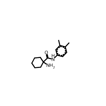 Cc1ccc(NC(=O)C2(N)CCCCC2)cc1C